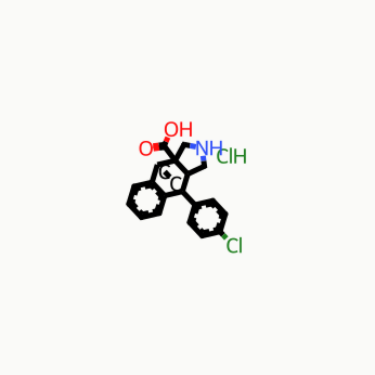 Cl.O=C(O)C12CNCC1C1(c3ccc(Cl)cc3)CCC2c2ccccc21